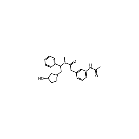 CC(=O)Nc1cccc(CC(=O)N(C)C(CN2CCC(O)C2)c2ccccc2)c1